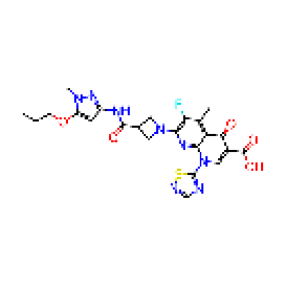 CCCOc1cc(NC(=O)C2CN(c3nc4c(c(C)c3F)c(=O)c(C(=O)O)cn4-c3ncns3)C2)nn1C